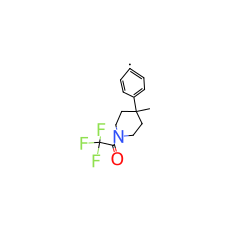 CC1(c2cc[c]cc2)CCN(C(=O)C(F)(F)F)CC1